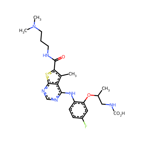 Cc1c(C(=O)NCCCN(C)C)sc2ncnc(Nc3ccc(F)cc3OC(C)CNC(=O)O)c12